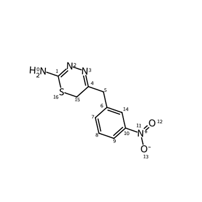 NC1=NN=C(Cc2cccc([N+](=O)[O-])c2)CS1